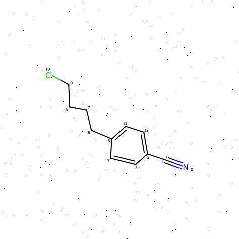 N#Cc1ccc(CCCCCl)cc1